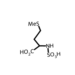 CSCCC(NS(=O)(=O)O)C(=O)O